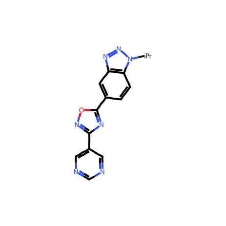 CC(C)n1nnc2cc(-c3nc(-c4cncnc4)no3)ccc21